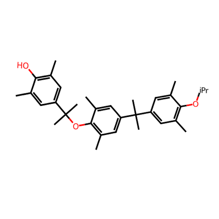 Cc1cc(C(C)(C)Oc2c(C)cc(C(C)(C)c3cc(C)c(OC(C)C)c(C)c3)cc2C)cc(C)c1O